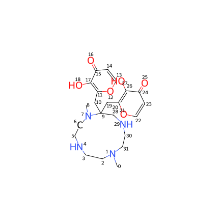 CN1CCNCCN(C)C(Cc2occc(=O)c2O)(Cc2occc(=O)c2O)CNCC1